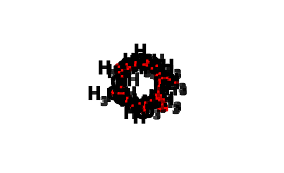 CCNC(=O)[C@@H]1CSCC(=O)N[C@@H](Cc2ccccc2)C(=O)N[C@@H](C(C)C)C(=O)N2CCC[C@H]2C(=O)N[C@@H]([C@@H](C)O)C(=O)N[C@@H]([C@@H](C)O)C(=O)N[C@@H](Cc2ccc(-c3ccccc3)cc2)C(=O)N(C)[C@@H](C)C(=O)N[C@@H](Cc2ccc(-c3ccccc3)cc2)C(=O)N(C)[C@@H](C)C(=O)N[C@@H](CCC(=O)O)C(=O)N[C@@H](C)C(=O)N2CCC[C@H]2C(=O)N1